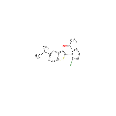 CC(=O)c1cccc(Cl)c1-c1cc2cc(C(C)C)ccc2s1